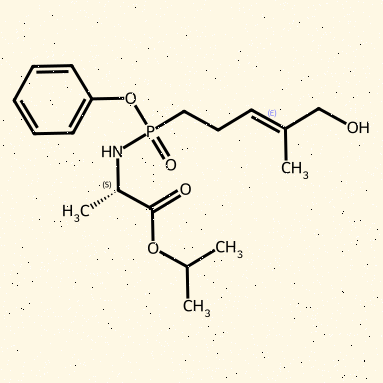 C/C(=C\CCP(=O)(N[C@@H](C)C(=O)OC(C)C)Oc1ccccc1)CO